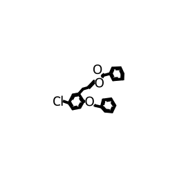 O=C(OC=CCc1cc(Cl)ccc1OCc1ccccc1)c1ccccc1